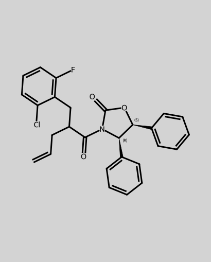 C=CCC(Cc1c(F)cccc1Cl)C(=O)N1C(=O)O[C@@H](c2ccccc2)[C@H]1c1ccccc1